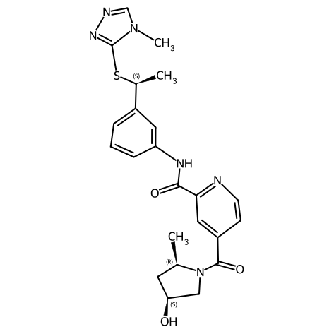 C[C@H](Sc1nncn1C)c1cccc(NC(=O)c2cc(C(=O)N3C[C@@H](O)C[C@H]3C)ccn2)c1